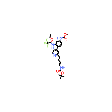 CCOC(Nc1cc(NC(=O)OC)ccc1-c1ccnc(CCC=CNC(=O)OC(C)(C)C)c1)C(F)(F)F